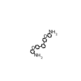 Nc1cccc(Oc2ccc(-c3cccc(-c4ccc(Oc5cccc(N)c5)cc4)c3)cc2)c1